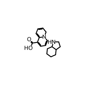 C1CCC2NCCC2C1.O=C(O)C1=CC=CN2CC=CC=C12